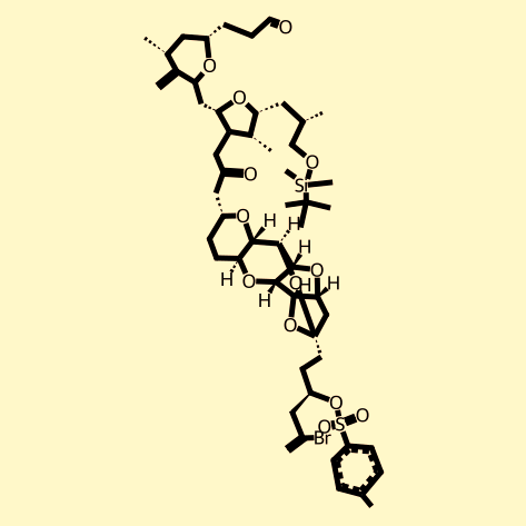 C=C(Br)C[C@@H](CC[C@@]12C[C@H]3O[C@H]4[C@@H](O1)[C@H]1O[C@@H](CC(=O)CC5[C@H](CC6O[C@@H](CCC=O)C[C@@H](C)C6=C)O[C@H](C[C@H](C)CO[Si](C)(C)C(C)(C)C)[C@@H]5C)CC[C@@H]1O[C@H]4[C@H]3O2)OS(=O)(=O)c1ccc(C)cc1